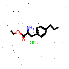 CCCc1ccc(CC(N)C(=O)OCC)cc1.Cl